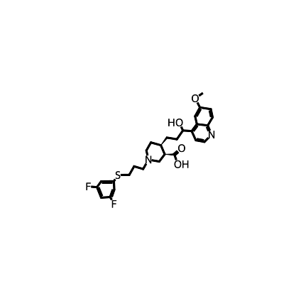 COc1ccc2nccc(C(O)CC[C@@H]3CCN(CCCSc4cc(F)cc(F)c4)C[C@@H]3C(=O)O)c2c1